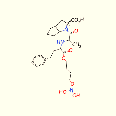 CC(NC(CCc1ccccc1)C(=O)OCCCCON(O)O)C(=O)N1C2CCCC2C[C@H]1C(=O)O